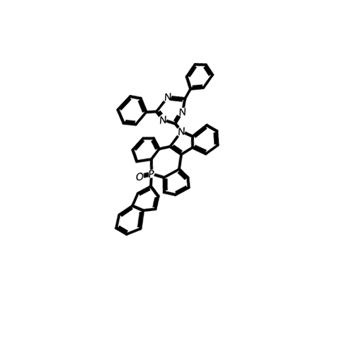 O=P1(c2ccc3ccccc3c2)c2ccccc2-c2c(n(-c3nc(-c4ccccc4)nc(-c4ccccc4)n3)c3ccccc23)C2=CC=CCC21